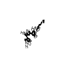 COc1cc(-c2cnc3[nH]cc(-c4cn(C)c(=O)c5[nH]ccc45)c3c2)cc(NC(=O)C=CCN(C)C)n1